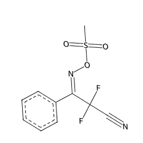 CS(=O)(=O)ON=C(c1ccccc1)C(F)(F)C#N